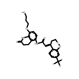 O=C(/C=C1\CCCOc2cc(C(F)(F)F)ccc21)Nc1ccc(OCCCO)c2c1CCC(=O)N2